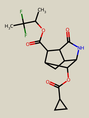 CC(OC(=O)C1C2CC3C(NC(=O)C31)C2OC(=O)C1CC1)C(C)(F)F